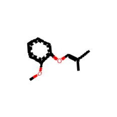 COc1ccccc1OC=C(C)C